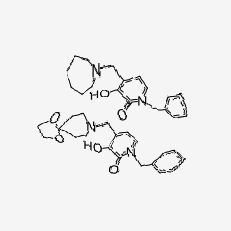 O=c1c(O)c(CN2CCC3(CC2)OCCO3)ccn1Cc1ccccc1.O=c1c(O)c(CN2CCCCCC2)ccn1Cc1ccccc1